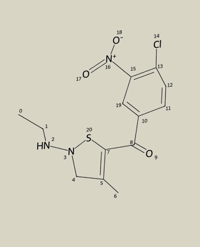 CCNN1CC(C)=C(C(=O)c2ccc(Cl)c([N+](=O)[O-])c2)S1